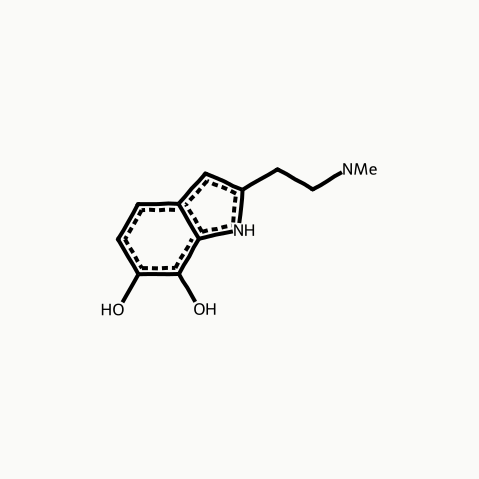 CNCCc1cc2ccc(O)c(O)c2[nH]1